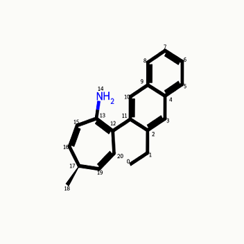 CCc1cc2ccccc2cc1C1=C(N)C=C[C@H](C)C=C1